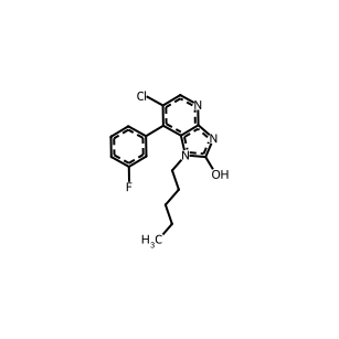 CCCCCn1c(O)nc2ncc(Cl)c(-c3cccc(F)c3)c21